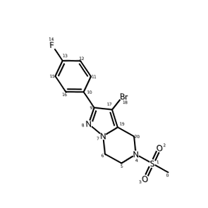 CS(=O)(=O)N1CCn2nc(-c3ccc(F)cc3)c(Br)c2C1